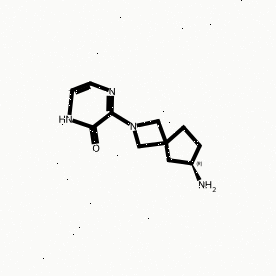 N[C@@H]1CCC2(C1)CN(c1nc[c][nH]c1=O)C2